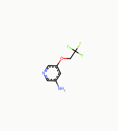 Nc1cncc(OCC(F)(F)F)c1